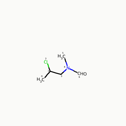 CC(Cl)CN(C)C=O